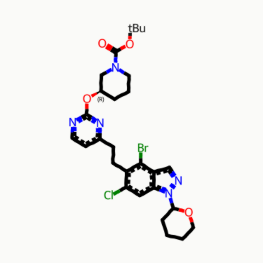 CC(C)(C)OC(=O)N1CCC[C@@H](Oc2nccc(CCc3c(Cl)cc4c(cnn4C4CCCCO4)c3Br)n2)C1